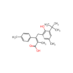 C/C(C(=O)O)=C(\Cc1cc(C)cc(C(C)(C)C)c1O)c1ccc(C)cc1